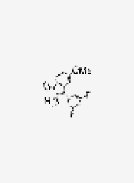 BC1=C(c2cc(F)cc(F)c2)c2cc(OC)ccc2C1=O